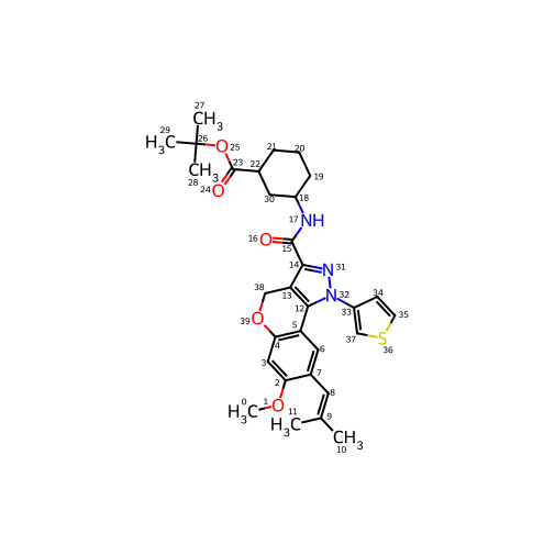 COc1cc2c(cc1C=C(C)C)-c1c(c(C(=O)NC3CCCC(C(=O)OC(C)(C)C)C3)nn1-c1ccsc1)CO2